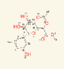 COC(=O)C[C@H]1O[C@H](c2cc(C)cc(O)c2)[C@@H](O)[C@@H](O)[C@@H]1OC(C)=O